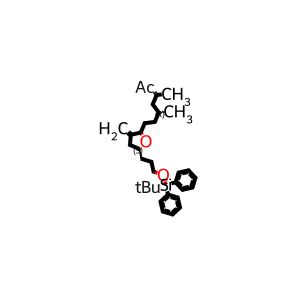 C=C1C[C@H](CCCO[Si](c2ccccc2)(c2ccccc2)C(C)(C)C)OC1CC[C@@H](C)CC(C)C(C)=O